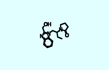 CCC(Cn1c(CO)nc2ccccc21)N1CCCC1=O